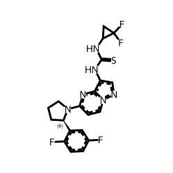 Fc1ccc(F)c([C@H]2CCCN2c2ccn3ncc(NC(=S)NC4CC4(F)F)c3n2)c1